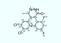 Cc1n[nH]c(=O)c(-c2c(F)cc(F)cc2F)c1-c1ccc(Cl)c(Cl)c1